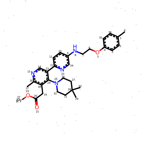 Cc1ccc(OCCNc2ccc(-c3cnc(C)c(CC(=O)OC(C)C)c3N3CCC(C)(C)CC3)nc2)cc1